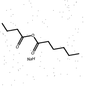 CCCCCC(=O)OC(=O)CCC.[NaH]